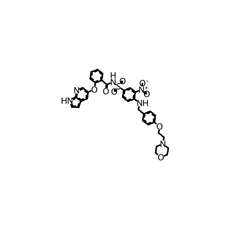 O=C(NS(=O)(=O)c1ccc(NCc2ccc(OCCN3CCOCC3)cc2)c([N+](=O)[O-])c1)c1ccccc1Oc1cnc2[nH]ccc2c1